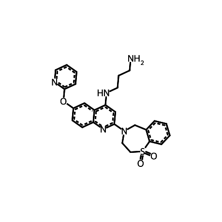 NCCCNc1cc(N2CCS(=O)(=O)c3ccccc3C2)nc2ccc(Oc3ccccn3)cc12